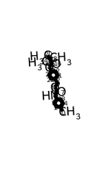 Cc1ccc(NC(=O)OCc2ccc(OC(=O)C(C)(C)C)cc2)cc1